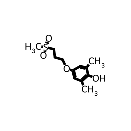 Cc1cc(OCCCS(C)(=O)=O)cc(C)c1O